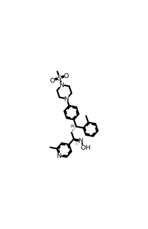 Cc1cc(/C(C[C@H](c2ccc(N3CCN(S(C)(=O)=O)CC3)cc2)c2ccccc2C)=N\O)ccn1